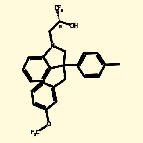 Cc1ccc(C2(Cc3cccc(OC(F)(F)F)c3)CN(C[C@@H](O)C(F)(F)F)c3ccccc32)cc1